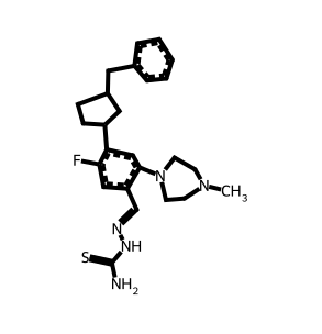 CN1CCN(c2cc(C3CCC(Cc4ccccc4)C3)c(F)cc2/C=N/NC(N)=S)CC1